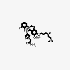 COc1cc2c(cc1OCCCN(C)CCN(C)C)=NCN(c1cccc(F)c1F)C=2Nc1cnn(CC(N)=O)c1